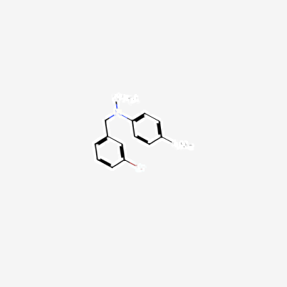 CCCCCCCN(Cc1cccc(Br)c1)c1ccc(OC)cc1